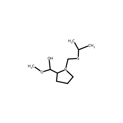 COC(O)C1CCCN1CSC(C)C